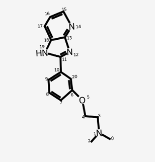 CN(C)CCOc1cccc(-c2nc3ncccc3[nH]2)c1